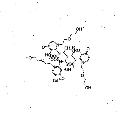 CC(N(C(=O)[O-])c1c(O)c(=O)ccn1CCOCCO)N(C(C)N(C(=O)[O-])c1c(O)c(=O)ccn1CCOCCO)C(C)N(C(=O)[O-])c1c(O)c(=O)ccn1CCOCCO.[Gd+3]